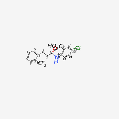 O=C(CCc1ccccc1C(F)(F)F)Nc1ccc(Cl)cc1C(=O)O